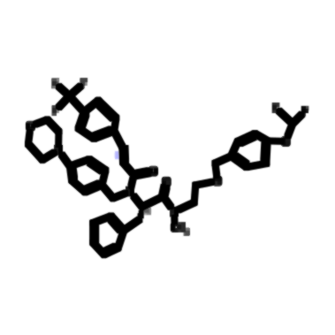 CN(CCOCc1ccc(OC(F)F)cc1)C(=O)[C@H](Cc1ccccc1)N(Cc1ccc(N2CCOCC2)cc1)C(=O)/C=C/c1ccc(C(F)(F)F)cc1